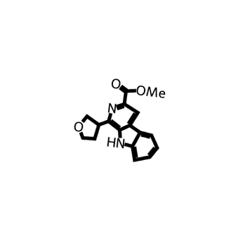 COC(=O)c1cc2c([nH]c3ccccc32)c(C2CCOC2)n1